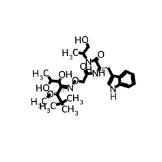 CO[C@H](/C(=N/OCC(=O)N[C@@H](Cc1c[nH]c2ccccc12)C(=O)NC(C)CO)C(O)C(C)O)C(C)(C)C